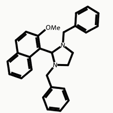 COc1ccc2ccccc2c1C1N(Cc2ccccc2)CCN1Cc1ccccc1